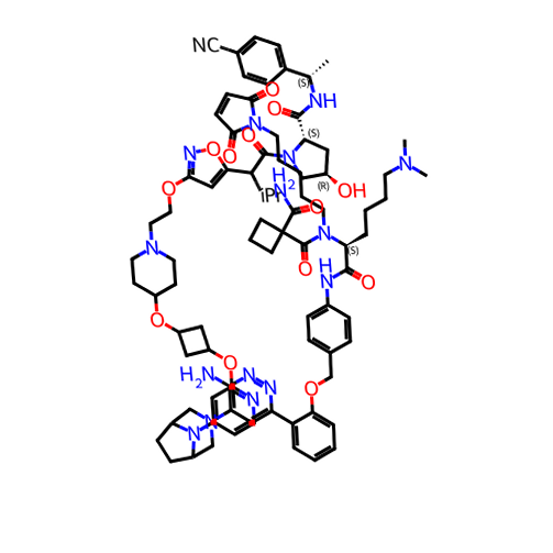 CC(C)C(C(=O)N1C[C@H](O)C[C@H]1C(=O)N[C@@H](C)c1ccc(C#N)cc1)c1cc(OCCN2CCC(OC3CC(Oc4cc(N5C6CCC5CN(c5cc(-c7ccccc7OCc7ccc(NC(=O)[C@H](CCCCN(C)C)N(CCCCCN8C(=O)C=CC8=O)C(=O)C8(C(N)=O)CCC8)cc7)nnc5N)C6)ccn4)C3)CC2)no1